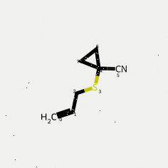 C=CCSC1(C#N)CC1